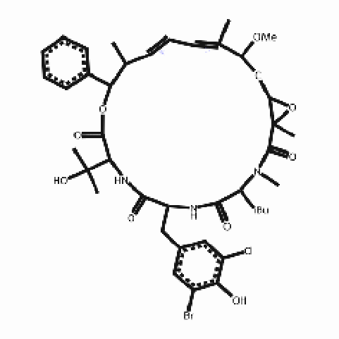 CCC(C)C1C(=O)NC(Cc2cc(Cl)c(O)c(Br)c2)C(=O)NC(C(C)(C)O)C(=O)OC(c2ccccc2)C(C)/C=C/C=C(\C)C(OC)CC2OC2(C)C(=O)N1C